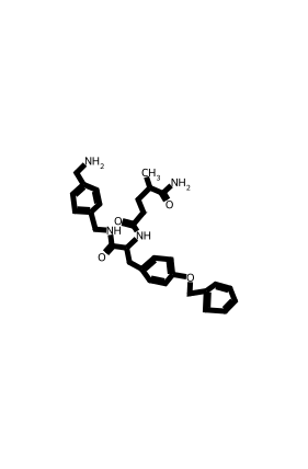 CC(C[CH]C(=O)NC(Cc1ccc(OCc2ccccc2)cc1)C(=O)NCc1ccc(CN)cc1)C(N)=O